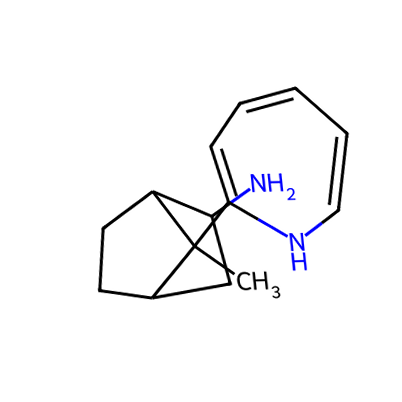 CC1(C2=CC=CC=CN2)C2CCC1C(N)C2